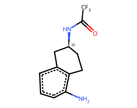 Nc1cccc2c1CC[C@H](NC(=O)C(F)(F)F)C2